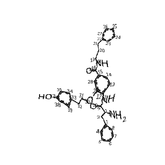 N[C@@H](Cc1ccccc1)C(=O)Nc1ccc(C(=O)NCCCc2ccccc2)cc1OCCc1ccc(O)cc1